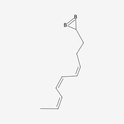 C\C=C/C=C\C=C/CCC1B=B1